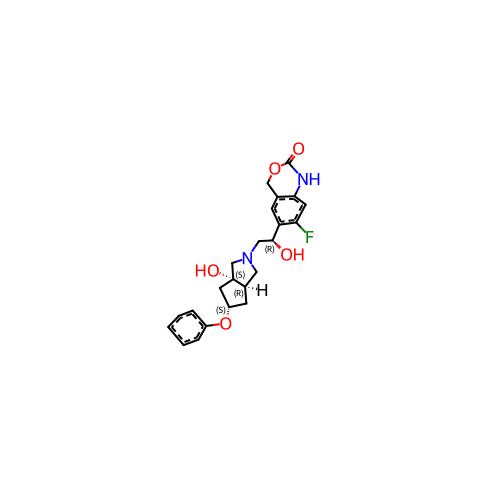 O=C1Nc2cc(F)c([C@@H](O)CN3C[C@H]4C[C@H](Oc5ccccc5)C[C@@]4(O)C3)cc2CO1